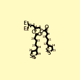 CCN(CC)CC(COC(=O)CCCCC1CCSS1)OC(=O)CCCCC1CSSC1